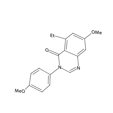 CCc1cc(OC)cc2ncn(-c3ccc(OC)cc3)c(=O)c12